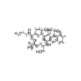 CCCNC(=O)c1ccc(C)c(-c2nc(NC(CO)COC(=O)C(F)(F)F)nc3c2ccc(=O)n3-c2c(F)cccc2F)c1